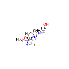 COC(=O)NC(C)(C)/C=C/n1ncc(C(=O)N[C@H]2C3CC4CC2C[C@](O)(C4)C3)c1C(C)C